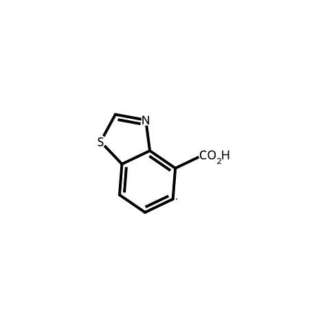 O=C(O)c1[c]ccc2scnc12